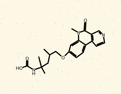 CC(COc1ccc2c3ccncc3c(=O)n(C)c2c1)CC(C)(C)NC(=O)O